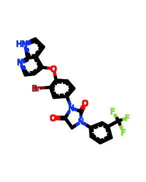 O=C1CN(c2cccc(C(F)(F)F)c2)C(=O)N1c1ccc(Oc2ccnc3[nH]ccc23)c(Br)c1